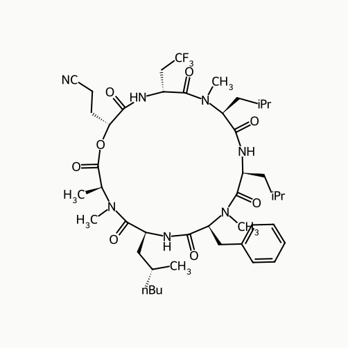 CCCC[C@@H](C)C[C@@H]1NC(=O)[C@H](Cc2ccccc2)N(C)C(=O)[C@H](CC(C)C)NC(=O)[C@H](CC(C)C)N(C)C(=O)[C@@H](CC(F)(F)F)NC(=O)[C@@H](CCC#N)OC(=O)[C@H](C)N(C)C1=O